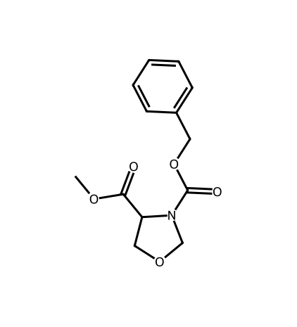 COC(=O)C1COCN1C(=O)OCc1ccccc1